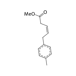 COC(=O)C/C=C\Cc1ccc(C)cc1